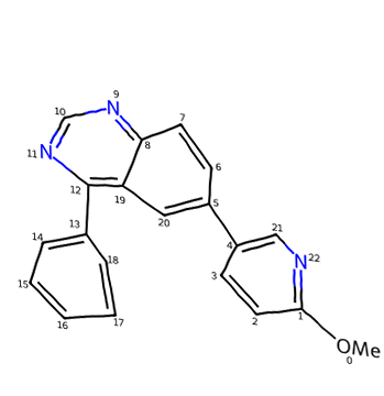 COc1ccc(-c2ccc3ncnc(-c4ccccc4)c3c2)cn1